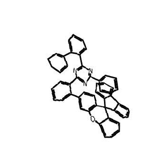 C1=CC(c2ccccc2-c2nc(-c3ccccc3)nc(-c3ccccc3-c3ccc4c(c3)Oc3ccccc3C43c4ccccc4-c4ccccc43)n2)=CCC1